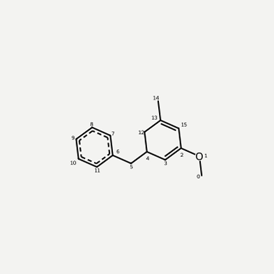 COC1=CC(Cc2ccccc2)CC(C)=C1